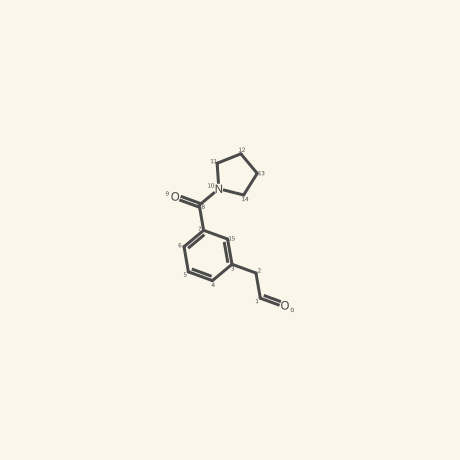 O=CCc1cccc(C(=O)N2CCCC2)c1